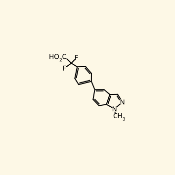 Cn1ncc2cc(-c3ccc(C(F)(F)C(=O)O)cc3)ccc21